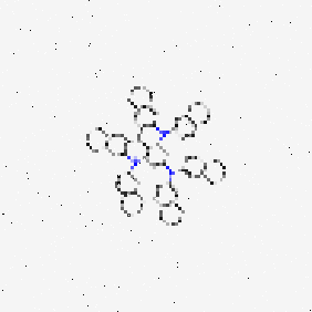 c1cc2c(cc1N(c1ccc3c(c1)CCCC3)c1cc3c4c(c1)N(c1ccc5c(c1)CCCC5)c1cc5c(cc1B4c1cc4c(cc1N3c1ccc3c(c1)CCCC3)CCCC4)CCCC5)CCCC2